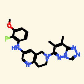 COc1cccc(Nc2cnc3c(c2)CN(c2nn4cnnc4c(C)c2C)CC3)c1F